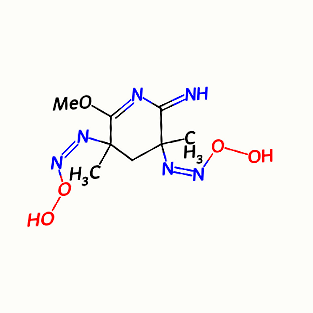 COC1=NC(=N)C(C)(/N=N\OO)CC1(C)/N=N\OO